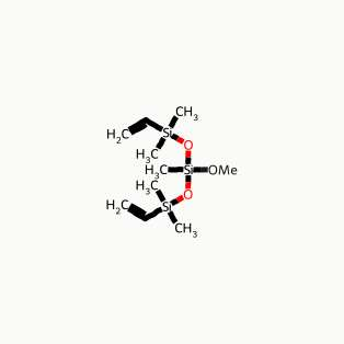 C=C[Si](C)(C)O[Si](C)(OC)O[Si](C)(C)C=C